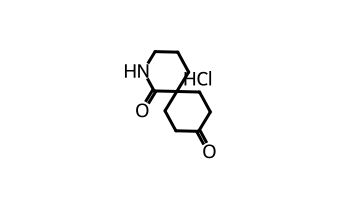 Cl.O=C1CCC2(CCCNC2=O)CC1